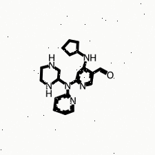 O=Cc1cnc(N(c2ccccn2)C2CNCCN2)cc1NC1CCCC1